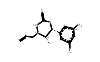 C=CCN1NC(=O)O[C@H](c2cc(F)cc(C(F)(F)F)c2)[C@@H]1C